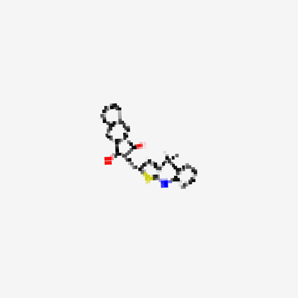 CN1c2ccccc2C(C)(C)c2cc(C=C3C(=O)c4cc5ccccc5cc4C3=O)sc21